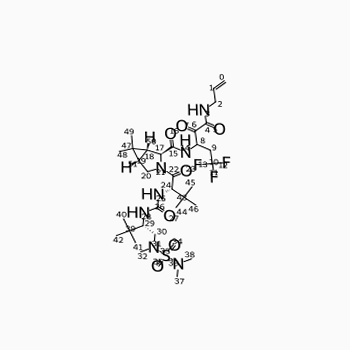 C=CCNC(=O)C(=O)C(CC(F)(F)F)NC(=O)[C@@H]1[C@@H]2[C@H](CN1C(=O)[C@@H](NC(=O)N[C@H](CN(C)S(=O)(=O)N(C)C)C(C)(C)C)C(C)(C)C)C2(C)C